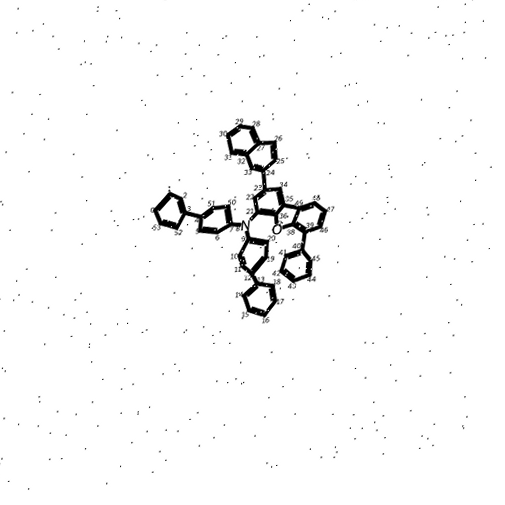 c1ccc(-c2ccc(N(c3ccc(-c4ccccc4)cc3)c3cc(-c4ccc5ccccc5c4)cc4c3oc3c(-c5ccccc5)cccc34)cc2)cc1